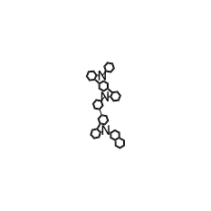 c1ccc(-n2c3ccccc3c3cc4c(cc32)c2ccccc2n4-c2cccc(-c3ccc4c(c3)c3ccccc3n4-c3ccc4ccccc4c3)c2)cc1